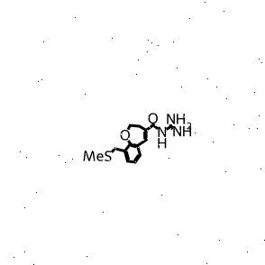 CSCc1cccc2c1OCCC(C(=O)NC(=N)N)=C2